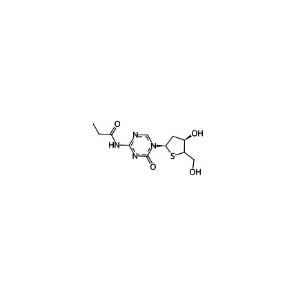 CCC(=O)Nc1ncn([C@H]2C[C@@H](O)C(CO)S2)c(=O)n1